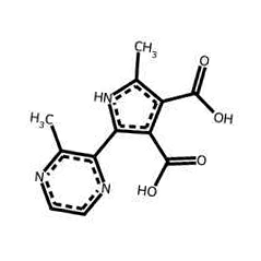 Cc1nccnc1-c1[nH]c(C)c(C(=O)O)c1C(=O)O